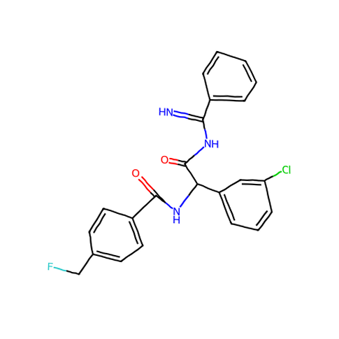 N=C(NC(=O)C(NC(=O)c1ccc(CF)cc1)c1cccc(Cl)c1)c1ccccc1